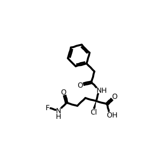 O=C(CC[C@](Cl)(NC(=O)Cc1ccccc1)C(=O)O)NF